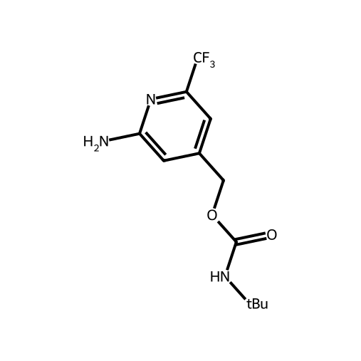 CC(C)(C)NC(=O)OCc1cc(N)nc(C(F)(F)F)c1